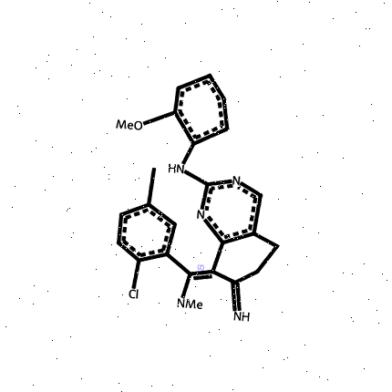 CN/C(=C1\C(=N)CCc2cnc(Nc3ccccc3OC)nc21)c1cc(C)ccc1Cl